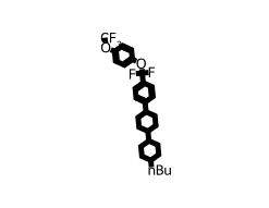 CCCCC1CCC(C2CCC(c3ccc(C(F)(F)Oc4ccc(OC(F)(F)F)cc4)cc3)CC2)CC1